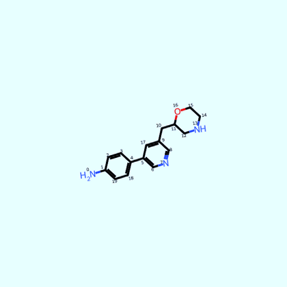 Nc1ccc(-c2cncc(CC3CNCCO3)c2)cc1